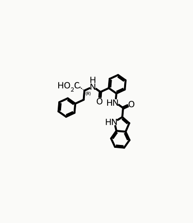 O=C(Nc1ccccc1C(=O)N[C@H](Cc1ccccc1)C(=O)O)c1cc2ccccc2[nH]1